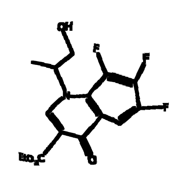 CCOC(=O)c1cn(C(C)CO)c2c(F)c(F)c(F)cc2c1=O